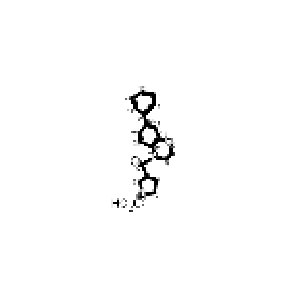 O=C(O)N1CCC(C(=O)N2CCOc3cc(-c4ccccc4)ccc32)C1